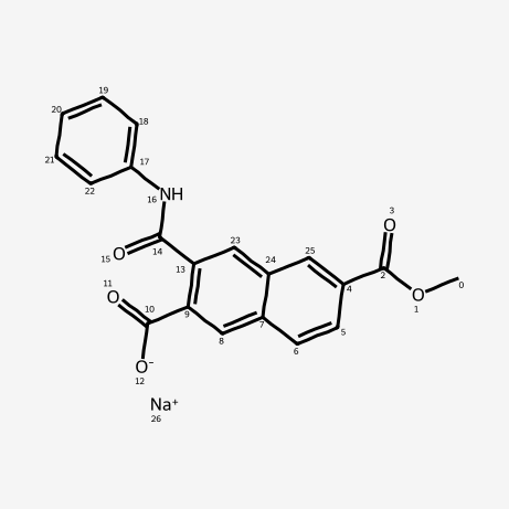 COC(=O)c1ccc2cc(C(=O)[O-])c(C(=O)Nc3ccccc3)cc2c1.[Na+]